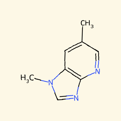 Cc1cnc2ncn(C)c2c1